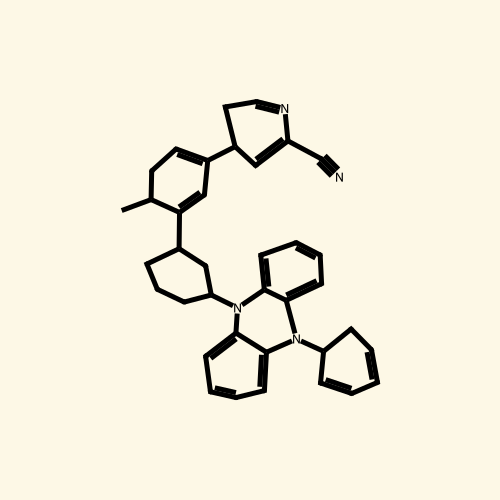 CC1CC=C(C2C=C(C#N)N=CC2)C=C1C1CCCC(N2c3ccccc3N(C3C=CC=CC3)c3ccccc32)C1